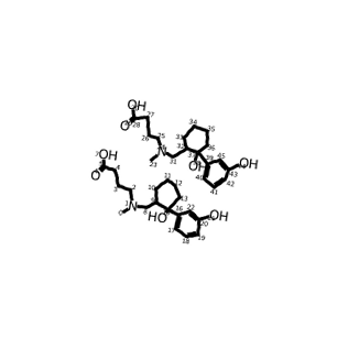 CN(CCCC(=O)O)CC1CCCCC1(O)c1cccc(O)c1.CN(CCCC(=O)O)CC1CCCCC1(O)c1cccc(O)c1